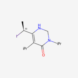 CC(C)C1=C([C@H](C)I)NCN(C(C)C)C1=O